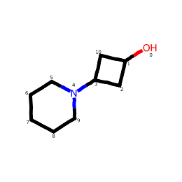 OC1CC(N2CCCCC2)C1